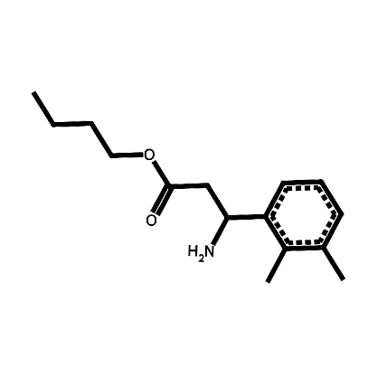 CCCCOC(=O)CC(N)c1cccc(C)c1C